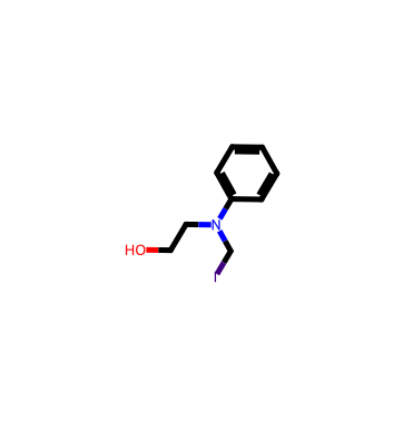 OCCN(CI)c1ccccc1